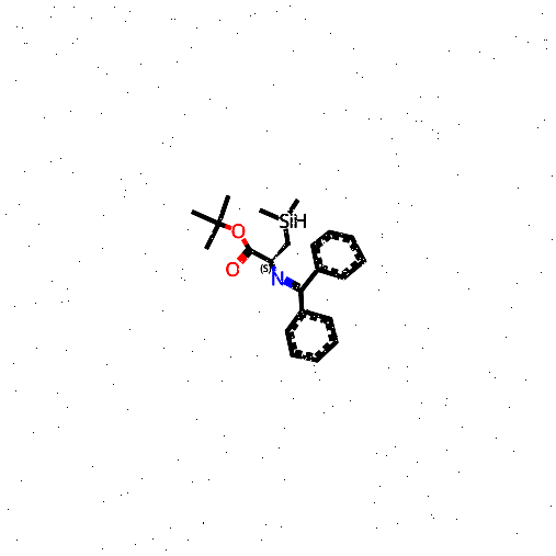 C[SiH](C)C[C@@H](N=C(c1ccccc1)c1ccccc1)C(=O)OC(C)(C)C